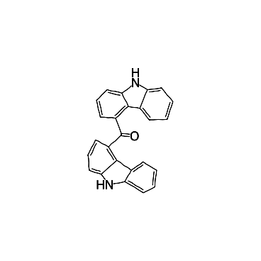 O=C(c1cccc2[nH]c3ccccc3c12)c1cccc2[nH]c3ccccc3c12